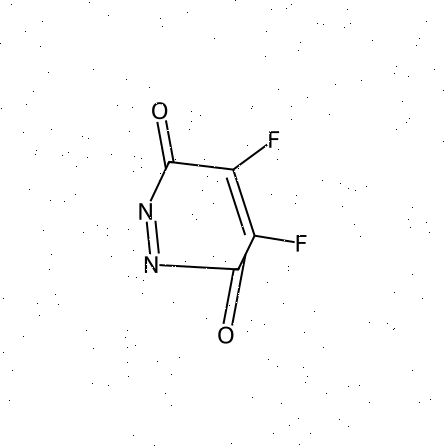 O=C1N=NC(=O)C(F)=C1F